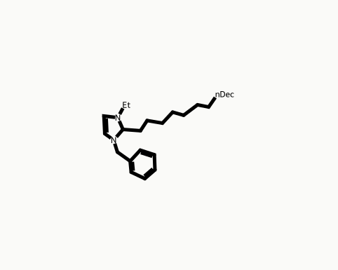 CCCCCCCCCCCCCCCCCC1N(CC)C=CN1Cc1ccccc1